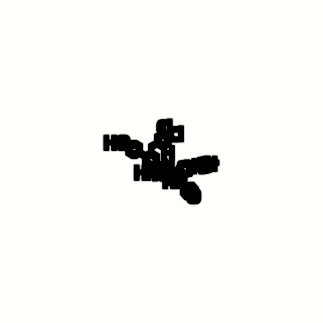 CN1CCN(c2ccc(C(=O)Nc3n[nH]c4cc(-c5ccc(O)cc5)c(Cc5ccc(Cl)c(Cl)c5)cc34)c(NC3CCOCC3)c2)CC1